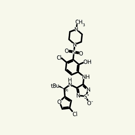 CN1CCN(S(=O)(=O)c2c(Cl)ccc(Nc3n[s+]([O-])nc3N[C@@H](c3cc(Cl)co3)C(C)(C)C)c2O)CC1